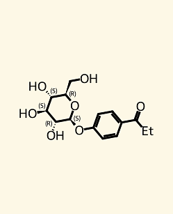 CCC(=O)c1ccc(O[C@@H]2O[C@H](CO)[C@@H](O)[C@H](O)[C@H]2O)cc1